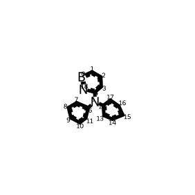 b1cccc(N(c2ccccc2)c2ccccc2)n1